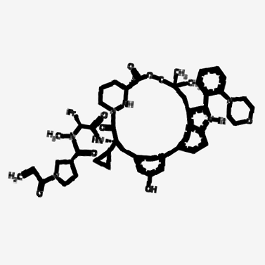 C=CC(=O)N1CC[C@H](C(=O)N(C)[C@H](C(=O)N[C@@]2(C3CC3)Cc3cc(O)cc(c3)-c3ccc4c(c3)c(c(-c3ccccc3N3CCOCC3)n4CC)CC(C)(C)COC(=O)[C@@H]3CCCN(N3)C2=O)C(C)C)C1